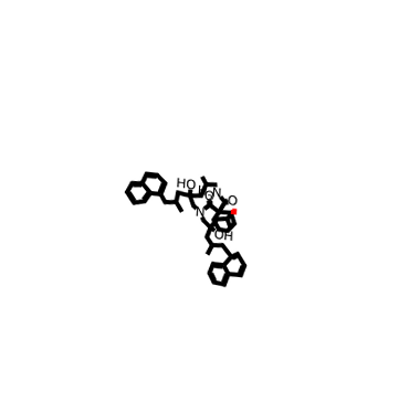 CC(C)CC(O)(CC(C)Cc1cccc2ccccc12)CN(CC(O)(CC(C)C)CC(C)Cc1cccc2ccccc12)C(=O)C1(C(N)=O)CCCCC1